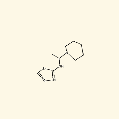 CC(Nc1nccs1)N1CCCCC1